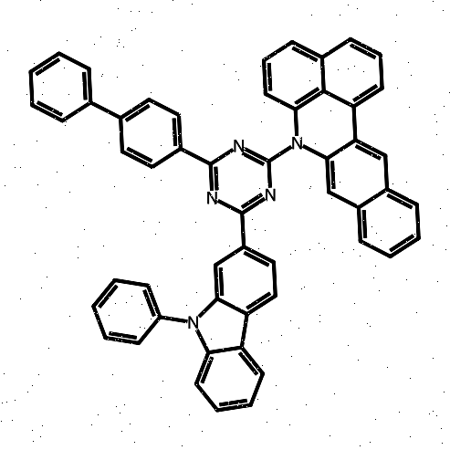 c1ccc(-c2ccc(-c3nc(-c4ccc5c6ccccc6n(-c6ccccc6)c5c4)nc(N4c5cc6ccccc6cc5-c5cccc6cccc4c56)n3)cc2)cc1